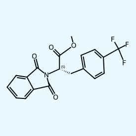 COC(=O)[C@H](Cc1ccc(C(F)(F)F)cc1)N1C(=O)c2ccccc2C1=O